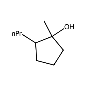 CCCC1CCCC1(C)O